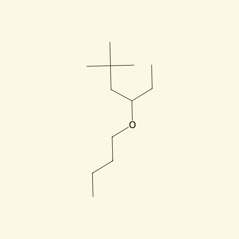 CCCCOC(CC)CC(C)(C)C